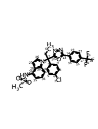 CCC(c1ccc(Cl)cc1)(c1nnc(-c2ccc(C(F)(F)F)cc2)o1)n1ccc2c(NS(C)(=O)=O)cccc21